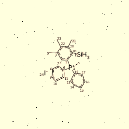 Cc1cc([P+](C)(c2ccccc2)c2ccccc2)c([SiH3])c(C)c1C.[I-]